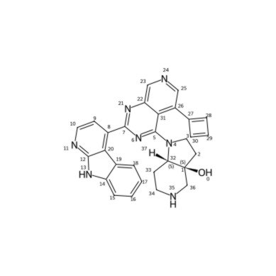 O[C@]12CCN(c3nc(-c4ccnc5[nH]c6ccccc6c45)nc4cncc(C5=CC=C5)c34)[C@H]1CCNC2